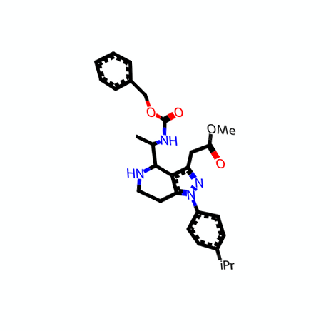 COC(=O)Cc1nn(-c2ccc(C(C)C)cc2)c2c1C(C(C)NC(=O)OCc1ccccc1)NCC2